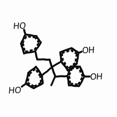 CC(c1ccc(O)cc1)C(CCc1ccc(O)cc1)(c1ccc(O)cc1)c1ccc(O)cc1